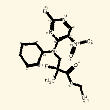 CCOC(=O)C(C)(F)CN(c1nc(Cl)ncc1[N+](=O)[O-])C1CCCCC1